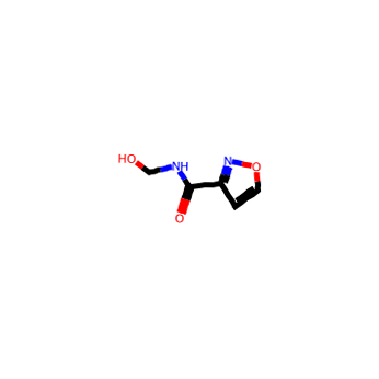 O=C(NCO)c1ccon1